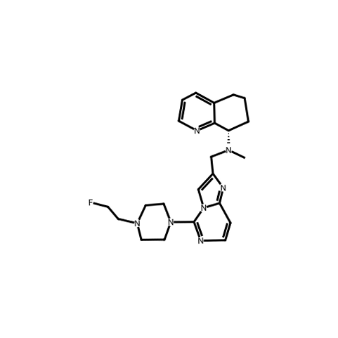 CN(Cc1cn2c(N3CCN(CCF)CC3)nccc2n1)[C@H]1CCCc2cccnc21